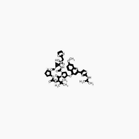 C=C[C@@H]1C[C@]1(NC(=O)[C@@H]1C[C@@H](Oc2cc(-c3csc(NC(C)C)n3)nc3cc(OC)ccc23)CN1C(=O)C(NC(=O)OC1CCCC1)C(C)(C)C)P(=O)(O)Cc1ncco1